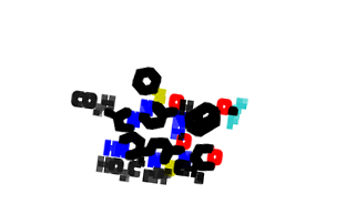 CCCSc1nc([C@]2(CC(=O)O)CCCNC2)ccc1C(=O)N(C)C1CCOCC1.O=C(O)C[C@@H]1CCN(c2ccc(C(=O)N[C@H]3C4CC5CC3C[C@@](OC(F)F)(C5)C4)c(SC3CCCCC3)n2)C1